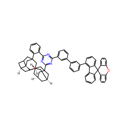 c1cc(-c2cccc(-c3cccc4c3-c3ccccc3C43c4ccccc4Oc4ccccc43)c2)cc(-c2nc(-c3ccccc3C34CC5C[C@@H]6C[C@H](C3)C[C@]56C4)nc(C34C[C@H]5C[C@H](C3)C[C@@H](C4)C5)n2)c1